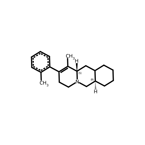 CC1=C(c2ccccc2C)CCN2C[C@@H]3CCCCC3C[C@@H]12